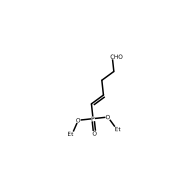 CCOP(=O)(/C=C/CCC=O)OCC